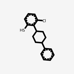 Sc1cccc(Cl)c1C1CCC(c2ccccc2)CC1